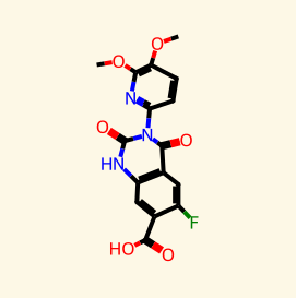 COc1ccc(-n2c(=O)[nH]c3cc(C(=O)O)c(F)cc3c2=O)nc1OC